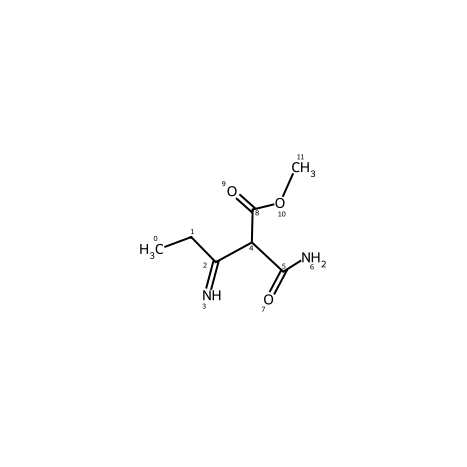 CCC(=N)C(C(N)=O)C(=O)OC